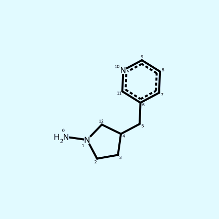 NN1CCC(Cc2cccnc2)C1